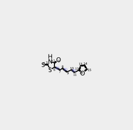 O=C1NC(=S)S/C1=C/C=C/C=C/c1ccco1